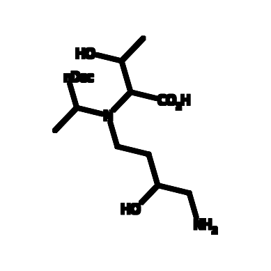 CCCCCCCCCCC(C)N(CCC(O)CN)C(C(=O)O)C(C)O